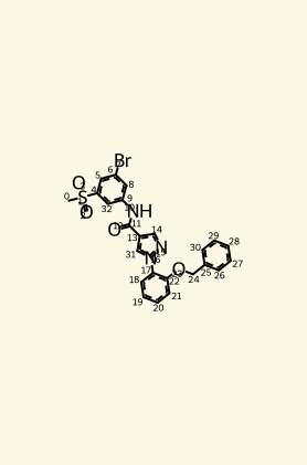 CS(=O)(=O)c1cc(Br)cc(NC(=O)c2cnn(-c3ccccc3OCc3ccccc3)c2)c1